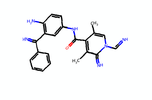 Cc1cn(C=N)c(=N)c(C)c1C(=O)Nc1ccc(N)c(C(=N)c2ccccc2)c1